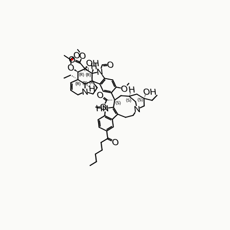 CCCCCC(=O)c1ccc2[nH]c3c(c2c1)CCN1C[C@H](C[C@@](O)(CC)C1)C[C@]3(C(=O)OC)c1cc2c(cc1OC)N(C=O)[C@H]1[C@@](O)(C(=O)OC)[C@H](OC(C)=O)[C@]3(CC)C=CCN4CC[C@]21[C@@H]43